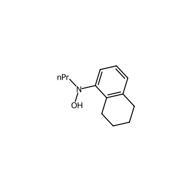 CCCN(O)c1cccc2c1CCCC2